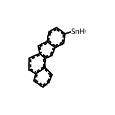 [SnH][c]1ccc2cc3ccc4ccccc4c3cc2c1